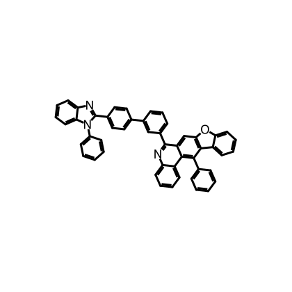 c1ccc(-c2c3c(cc4c(-c5cccc(-c6ccc(-c7nc8ccccc8n7-c7ccccc7)cc6)c5)nc5ccccc5c24)oc2ccccc23)cc1